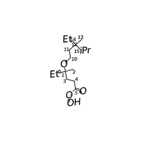 CCC(C)(CCC(=O)OO)OCCC(C)(CC)C(C)C